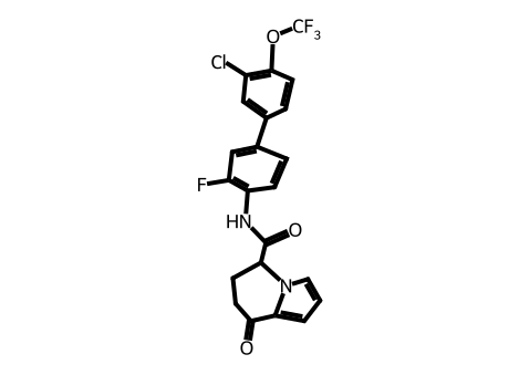 O=C1CCC(C(=O)Nc2ccc(-c3ccc(OC(F)(F)F)c(Cl)c3)cc2F)n2cccc21